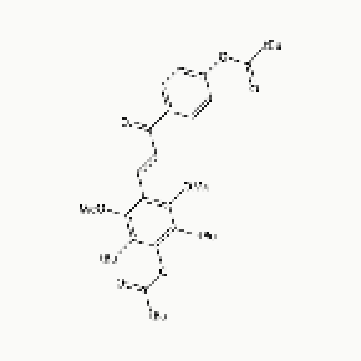 COc1c(C=CC(=O)c2ccc(OC(=O)C(C)(C)C)cc2)c(OC)c(C(C)(C)C)c(OC(=O)C(C)(C)C)c1C(C)(C)C